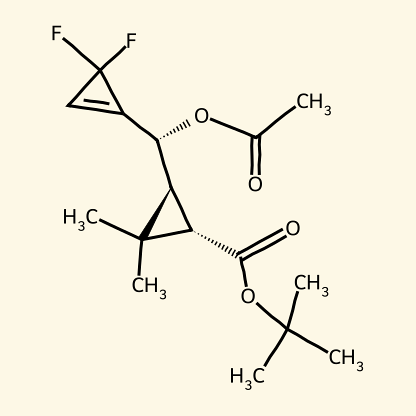 CC(=O)O[C@@H](C1=CC1(F)F)[C@H]1[C@H](C(=O)OC(C)(C)C)C1(C)C